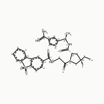 C[C@@H](NC(=O)[C@@H]1C[C@](F)(CF)CN1C(=O)CNC(=O)c1ccc2c(c1)-c1ccccc1S2(=O)=O)c1cc(C(=N)N)cs1